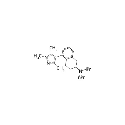 CCCN(C(C)C)C1CCc2c(cccc2-c2c(C)nn(C)c2C)C1